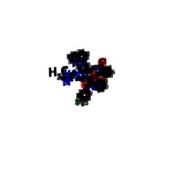 Cn1cncc1CN1CCN(CC[C@@](O)(NC(=O)C2CCC(F)(F)CC2)c2ccccc2)C[C@@H]1CN(CCCCN1C(=O)c2ccccc2C1=O)[C@H]1CCCc2cccnc21